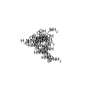 CC(C)C[C@H](NC(=O)CNC(=O)[C@H](CCCNC(=N)N)NC(=O)[C@@H]1CCCN1C(=O)CN)C(=O)N[C@@H](C)C(=O)NCC(=O)N1CCC[C@H]1C(=O)N[C@@H](CCC(N)=O)C(=O)NCC(=O)N1CCC[C@H]1C(=O)N[C@@H](CCCNC(=N)N)C(=O)NCC(=O)N[C@@H](CCC(=O)O)C(=O)N[C@@H](CCCCN)C(=O)O